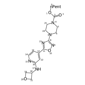 CCCCCOC(=O)N1CCN(c2noc(-c3ccnc(NC4COC4)c3)n2)CC1